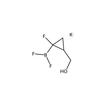 OCC1CC1(F)B(F)F.[K]